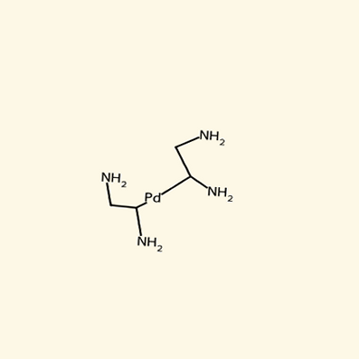 NC[CH](N)[Pd][CH](N)CN